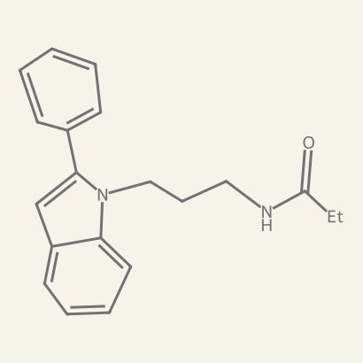 CCC(=O)NCCCn1c(-c2ccccc2)cc2ccccc21